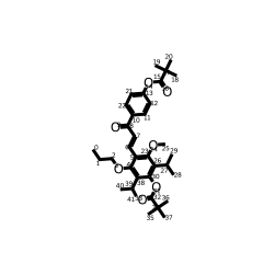 CCCOc1c(C=CC(=O)c2ccc(OC(=O)C(C)(C)C)cc2)c(OC)c(C(C)C)c(OC(=O)C(C)(C)C)c1C(C)C